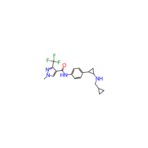 Cn1cc(C(=O)Nc2ccc(C3CC3NCC3CC3)cc2)c(C(F)(F)F)n1